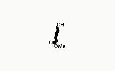 COC(=O)CCC/C=C/CO